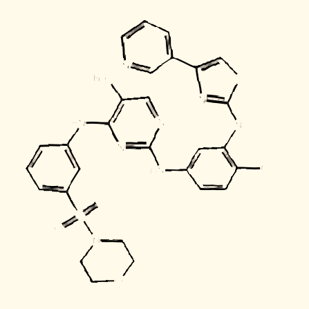 Cc1ccc(Nc2ncc(C)c(Nc3cccc(S(=O)(=O)N4CCOCC4)c3)n2)cc1Nc1nc(-c2cccnc2)cs1